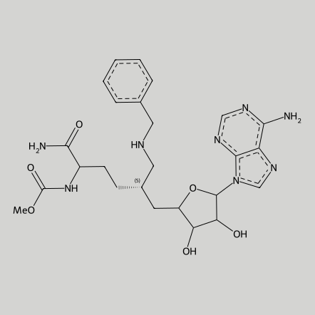 COC(=O)NC(CC[C@H](CNCc1ccccc1)CC1OC(n2cnc3c(N)ncnc32)C(O)C1O)C(N)=O